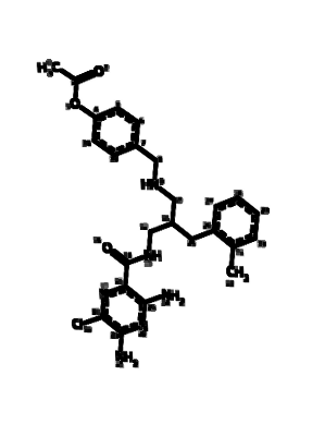 CC(=O)Oc1ccc(CNCC(CNC(=O)c2nc(Cl)c(N)nc2N)Cc2ccccc2C)cc1